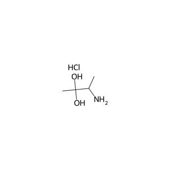 CC(N)C(C)(O)O.Cl